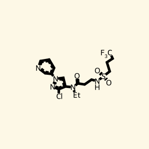 CCN(C(=O)CCNS(=O)(=O)CCCC(F)(F)F)c1cn(-c2cccnc2)nc1Cl